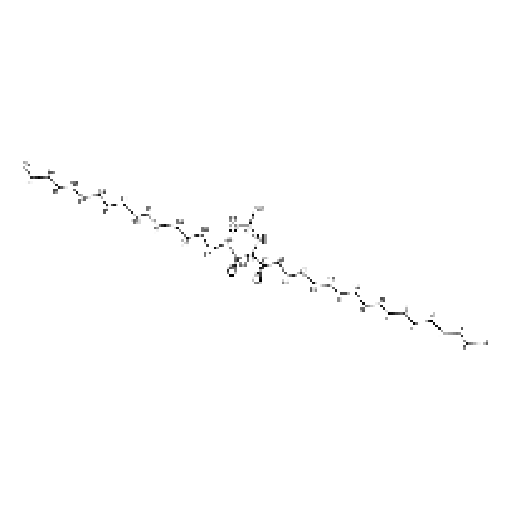 CCCCCCCCCCCCCCCCCC(=O)C(NC(C)=O)C(=O)CCCCCCCCCCCCCCCCC